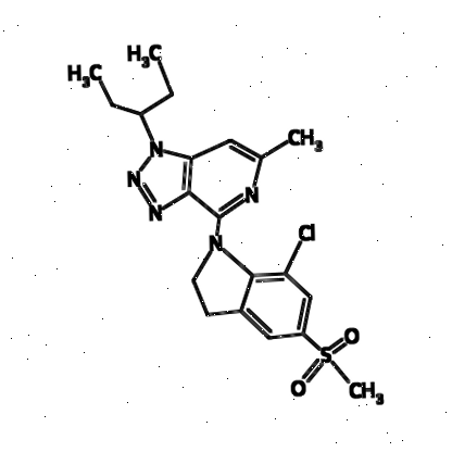 CCC(CC)n1nnc2c(N3CCc4cc(S(C)(=O)=O)cc(Cl)c43)nc(C)cc21